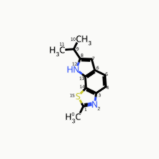 Cc1nc2ccc3cc(C(C)C)[nH]c3c2s1